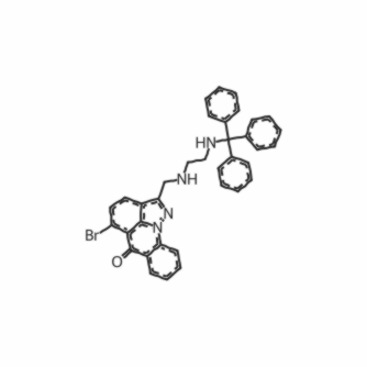 O=c1c2ccccc2n2nc(CNCCNC(c3ccccc3)(c3ccccc3)c3ccccc3)c3ccc(Br)c1c32